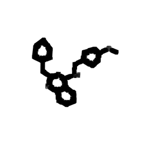 COc1ccc(CNc2nc(Cc3ccccc3)nc3ccccc23)cc1